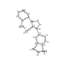 Cc1ccncc1N1CCN(c2ccc3[nH]nnc3c2)C1=O